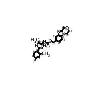 Cc1cc(F)ccc1-c1nc(C)c(NC(=O)OCc2ccc3c(c2)nc2n3CCOC2)s1